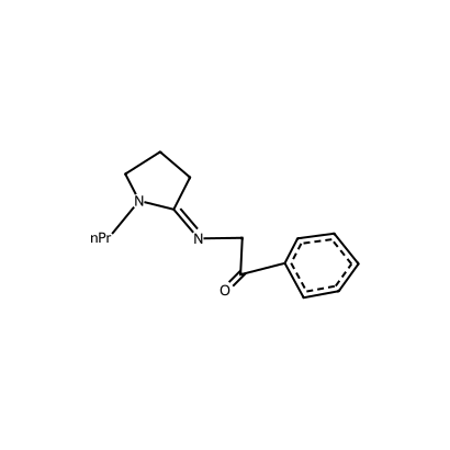 CCCN1CCC/C1=N\CC(=O)c1ccccc1